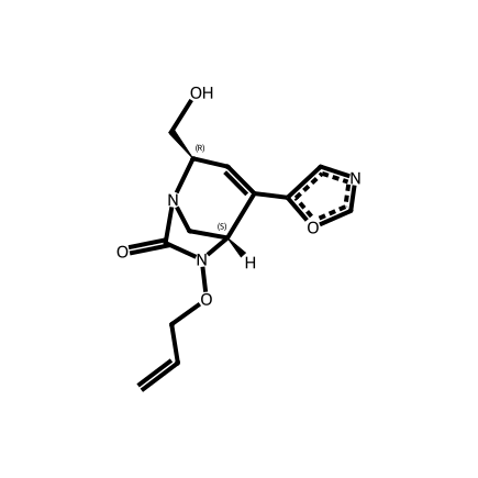 C=CCON1C(=O)N2C[C@@H]1C(c1cnco1)=C[C@@H]2CO